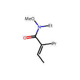 C/C=C(/C(=O)N(CC)OC)C(C)C